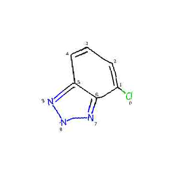 Clc1cccc2c1=N[N]N=2